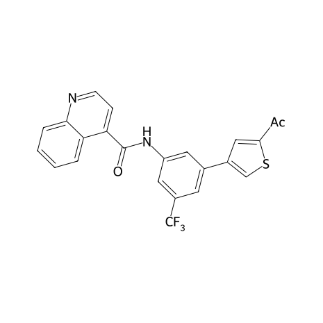 CC(=O)c1cc(-c2cc(NC(=O)c3ccnc4ccccc34)cc(C(F)(F)F)c2)cs1